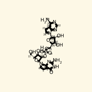 Nc1nc2c(ccn2[C@@H]2O[C@H](CO)[C@@H](O)[C@H]2OP(=O)(O)OC[C@H]2O[C@@H](n3ccc4c(N)ncnc43)[C@H](O)[C@@H]2O)c(=O)[nH]1